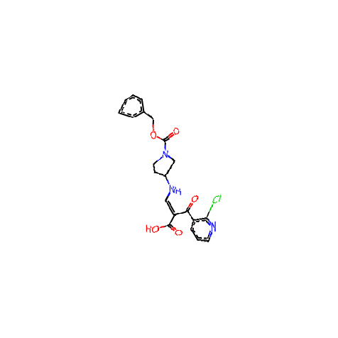 O=C(O)/C(=C/NC1CCN(C(=O)OCc2ccccc2)C1)C(=O)c1cccnc1Cl